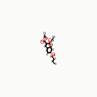 [CH2]C=CCOc1ccc(C=C(C(=O)OCC)C(=O)OCC)cc1